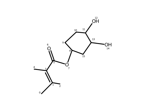 CC(C)=C(C)C(=O)OC1CCC(O)C(O)C1